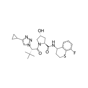 CC(C)(C)[C@@H](C(=O)N1C[C@H](O)C[C@H]1C(=O)NC1CCSc2c(F)cccc21)n1cc(C2CC2)nn1